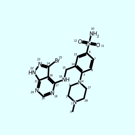 CN1CCN(c2ccc(S(N)(=O)=O)cc2CNc2ncnc3[nH]nc(Br)c23)CC1